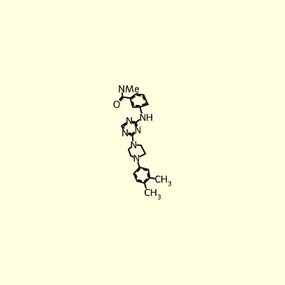 CNC(=O)c1cccc(Nc2ncnc(N3CCN(c4ccc(C)c(C)c4)CC3)n2)c1